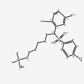 CC(C)(C)[Si](C)(C)OCCCCCC(c1cc(F)ccc1F)S(=O)(=O)c1ccc(Cl)cc1